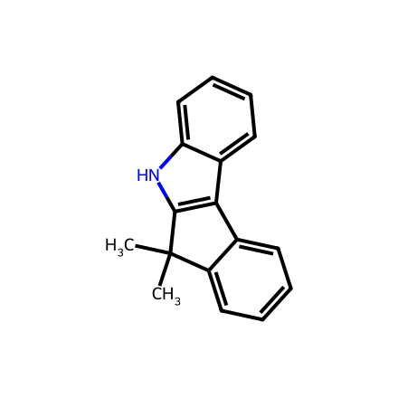 CC1(C)c2ccccc2-c2c1[nH]c1ccccc21